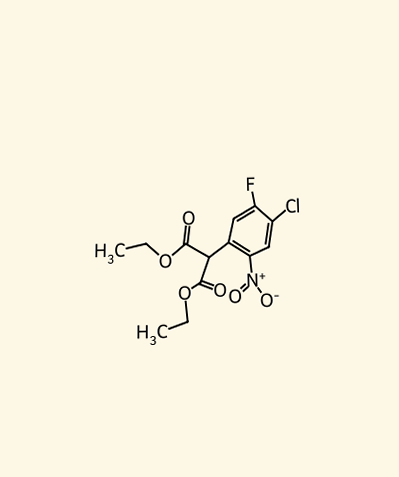 CCOC(=O)C(C(=O)OCC)c1cc(F)c(Cl)cc1[N+](=O)[O-]